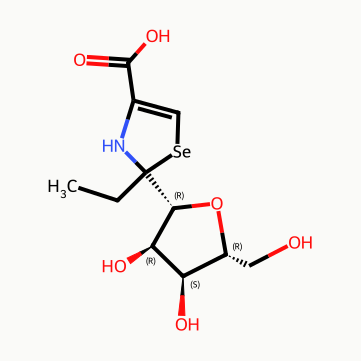 CCC1([C@@H]2O[C@H](CO)[C@@H](O)[C@H]2O)NC(C(=O)O)=C[Se]1